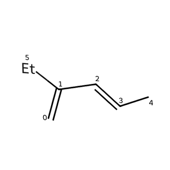 C=C(C=CC)CC